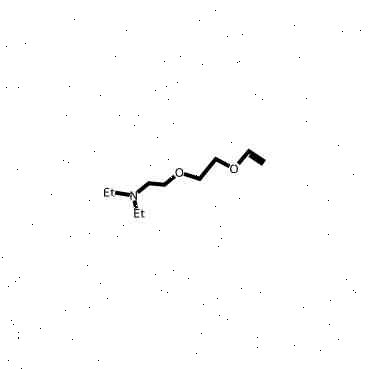 C=COCCOCCN(CC)CC